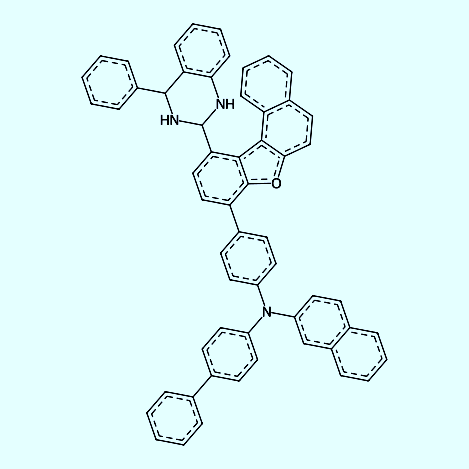 c1ccc(-c2ccc(N(c3ccc(-c4ccc(C5Nc6ccccc6C(c6ccccc6)N5)c5c4oc4ccc6ccccc6c45)cc3)c3ccc4ccccc4c3)cc2)cc1